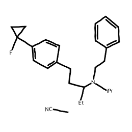 CC#N.CCC(CCc1ccc(C2(F)CC2)cc1)N(CCc1ccccc1)C(C)C